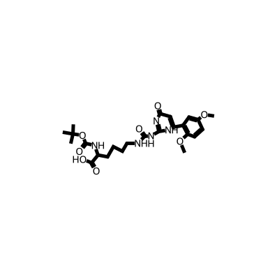 COc1ccc(OC)c(-c2cc(=O)nc(NC(=O)NCCCCC(NC(=O)OC(C)(C)C)C(=O)O)[nH]2)c1